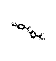 CCc1ccc(C(=O)Oc2ccc(C(=O)O)cc2)cc1